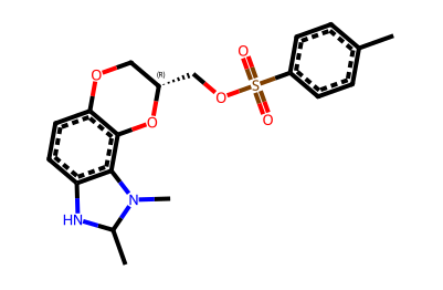 Cc1ccc(S(=O)(=O)OC[C@H]2COc3ccc4c(c3O2)N(C)C(C)N4)cc1